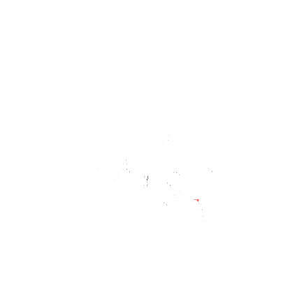 N=C(/N=C(\Nn1c2ccccc2c2c(-c3ccccc3)cccc21)c1ccc(-c2ccccc2)cc1)c1ccccc1-n1c2ccccc2c2ccc3c4ccccc4n(-c4ccccc4)c3c21